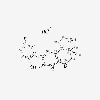 Cl.Oc1ccc(F)cc1-c1cc2c(nn1)NC[C@H]1CNCCN21